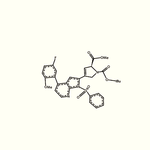 COC(=O)[C@@H]1C=C(c2cc3c(-c4cc(F)ccc4OC)ccnc3n2S(=O)(=O)c2ccccc2)CN1C(=O)OC(C)(C)C